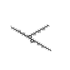 CCCCCCNCCCNCCCNCc1cccc(-c2cc(CNCCCNCCCNCCCCCC)cc(CNCCCNCCCNCCCCCC)c2)c1